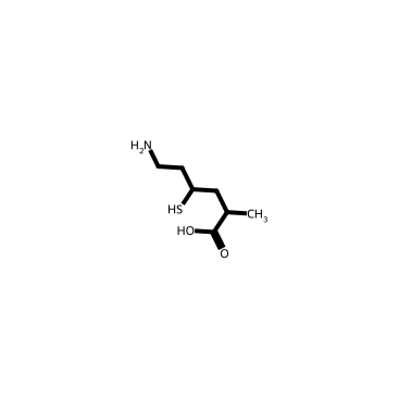 CC(CC(S)CCN)C(=O)O